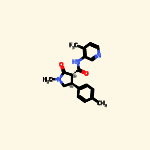 Cc1ccc([C@H]2CN(C)C(=O)[C@@H]2C(=O)Nc2cnccc2C(F)(F)F)cc1